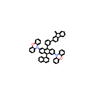 C=C1c2ccccc2-c2ccc(-c3cccc(-c4c5cc(N6c7ccccc7Oc7ccccc76)ccc5c(-c5cccc6ccccc56)c5cc(N6c7ccccc7Oc7ccccc76)ccc45)c3)cc21